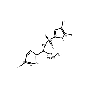 Cc1cc(S(=O)(=O)NC(c2ccc(F)cc2)C(F)(F)F)sc1C.NC=O